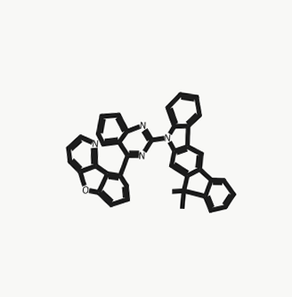 CC1(C)c2ccccc2-c2cc3c4ccccc4n(-c4nc(-c5cccc6oc7cccnc7c56)c5ccccc5n4)c3cc21